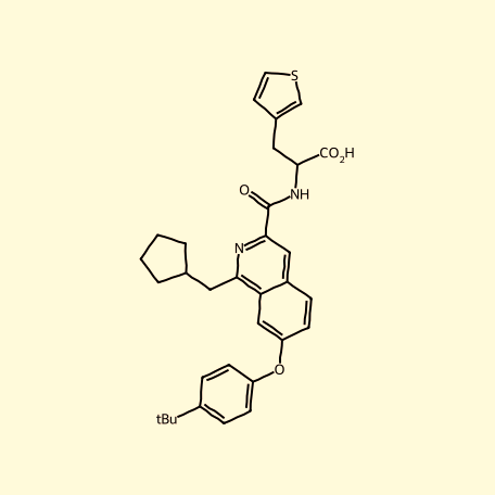 CC(C)(C)c1ccc(Oc2ccc3cc(C(=O)NC(Cc4ccsc4)C(=O)O)nc(CC4CCCC4)c3c2)cc1